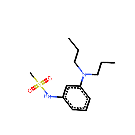 CCCN(CCC)c1cccc(NS(C)(=O)=O)c1